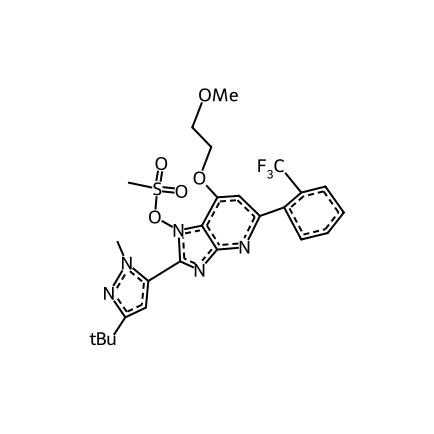 COCCOc1cc(-c2ccccc2C(F)(F)F)nc2nc(-c3cc(C(C)(C)C)nn3C)n(OS(C)(=O)=O)c12